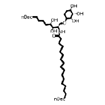 CCCCCCCCCCCCCCCCCCCCCCCCCC(=O)N[C@H](COC1CC[C@H](O)[C@H](O)[C@H]1O)[C@@H](O)[C@@H](O)CCCCCCCCCCCCCC